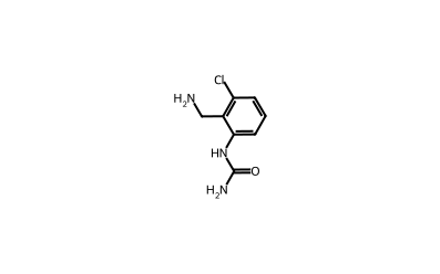 NCc1c(Cl)cccc1NC(N)=O